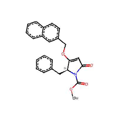 CC(C)(C)OC(=O)N1C(=O)C=C(OCc2ccc3ccccc3c2)[C@@H]1Cc1ccccc1